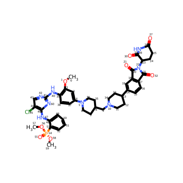 COc1cc(N2CCC(CN3CCC(c4ccc5c(c4)C(=O)N(C4CCC(=O)NC4=O)C5=O)CC3)CC2)ccc1Nc1ncc(Cl)c(Nc2ccccc2P(=O)(OC)OC)n1